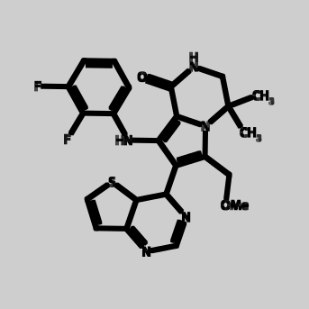 COCc1c(C2N=CN=C3C=CSC32)c(Nc2cccc(F)c2F)c2n1C(C)(C)CNC2=O